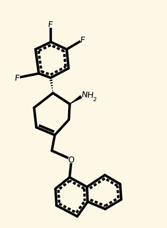 N[C@H]1CC(COc2cccc3ccccc23)=CC[C@@H]1c1cc(F)c(F)cc1F